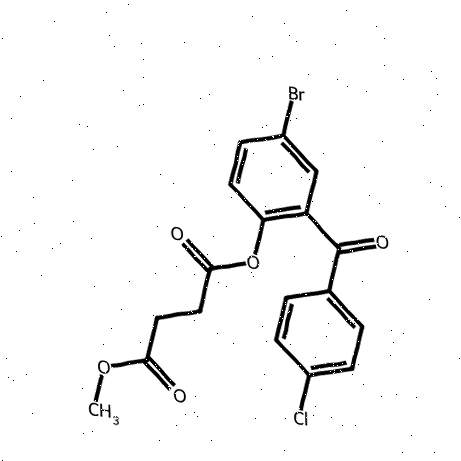 COC(=O)CCC(=O)Oc1ccc(Br)cc1C(=O)c1ccc(Cl)cc1